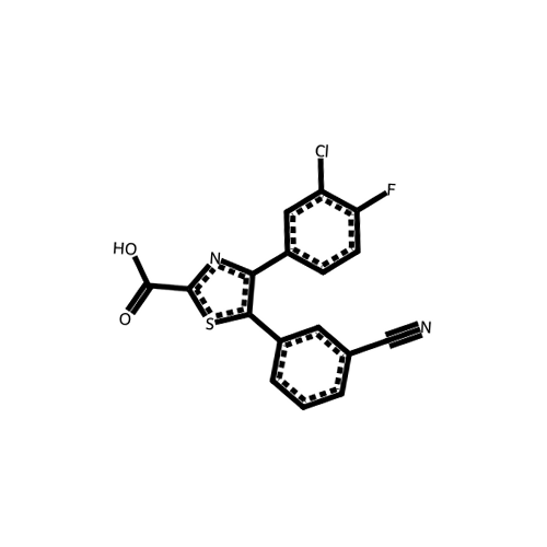 N#Cc1cccc(-c2sc(C(=O)O)nc2-c2ccc(F)c(Cl)c2)c1